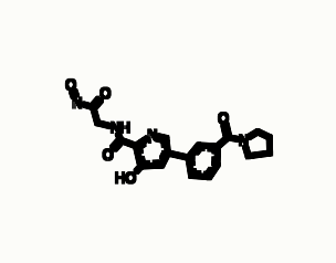 O=NC(=O)CNC(=O)c1ncc(-c2cccc(C(=O)N3CCCC3)c2)cc1O